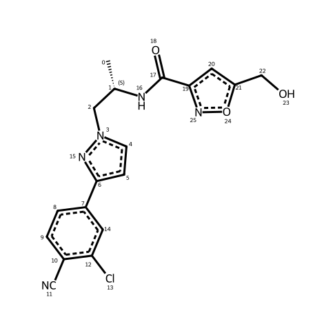 C[C@@H](Cn1ccc(-c2ccc(C#N)c(Cl)c2)n1)NC(=O)c1cc(CO)on1